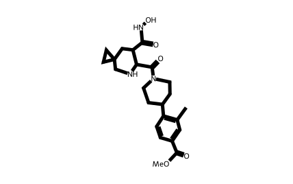 COC(=O)c1ccc(C2CCN(C(=O)C3NCC4(CC4)CC3C(=O)NO)CC2)c(C)c1